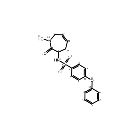 O=C1C(NS(=O)(=O)c2ccc(Oc3ccccc3)cc2)CC=CCN1O